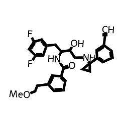 C#Cc1cccc(C2(NCC(O)C(Cc3cc(F)cc(F)c3)NC(=O)c3cccc(CCOC)c3)CC2)c1